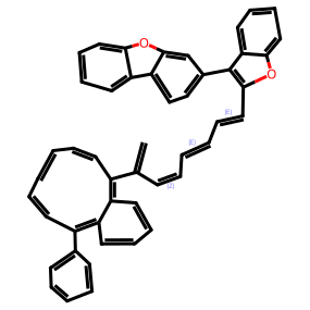 C=C(\C=C/C=C/C=C/c1oc2ccccc2c1-c1ccc2c(c1)oc1ccccc12)c1ccccccc(-c2ccccc2)c2ccccc12